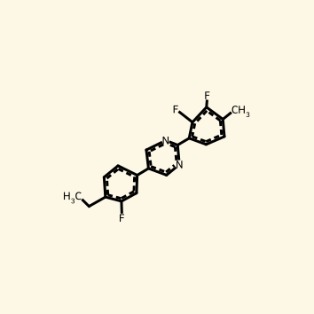 CCc1ccc(-c2cnc(-c3ccc(C)c(F)c3F)nc2)cc1F